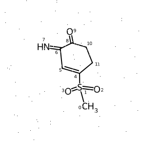 CS(=O)(=O)C1=CC(=N)C(=O)CC1